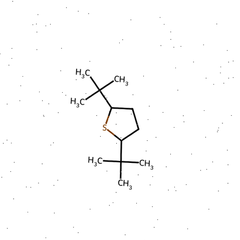 CC(C)(C)C1CCC(C(C)(C)C)S1